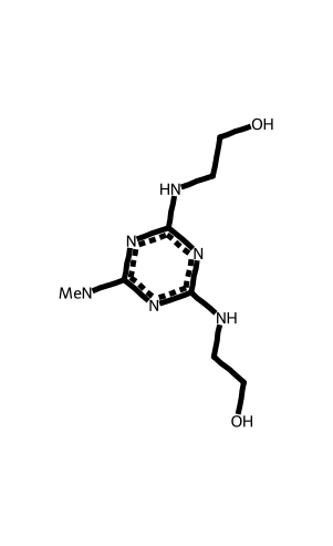 CNc1nc(NCCO)nc(NCCO)n1